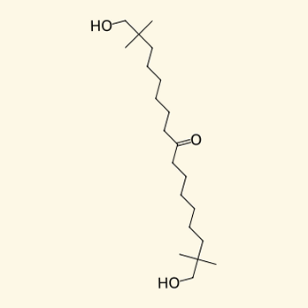 CC(C)(CO)CCCCCCC(=O)CCCCCCC(C)(C)CO